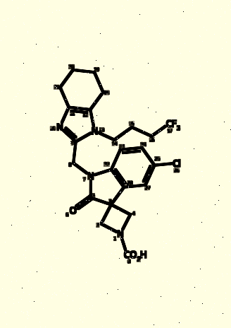 O=C(O)N1CC2(C1)C(=O)N(Cc1nc3c(n1CCCC(F)(F)F)CCCC3)c1ccc(Cl)cc12